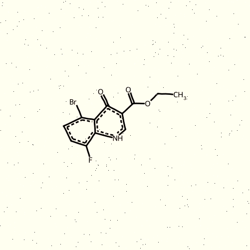 CCOC(=O)c1c[nH]c2c(F)ccc(Br)c2c1=O